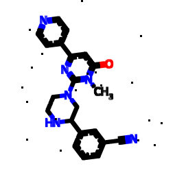 Cn1c(N2CCNC(c3cccc(C#N)c3)C2)nc(-c2ccncc2)cc1=O